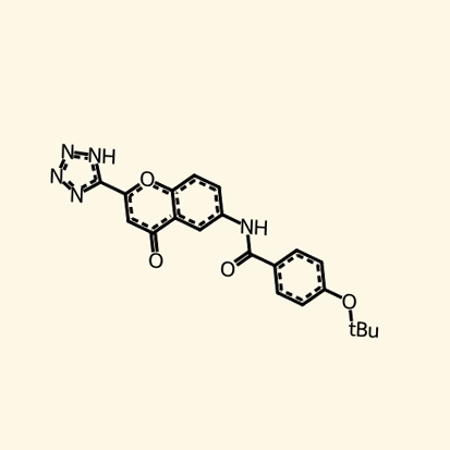 CC(C)(C)Oc1ccc(C(=O)Nc2ccc3oc(-c4nnn[nH]4)cc(=O)c3c2)cc1